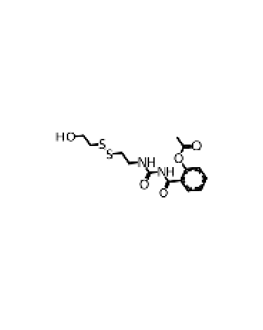 CC(=O)Oc1ccccc1C(=O)NC(=O)NCCSSCCO